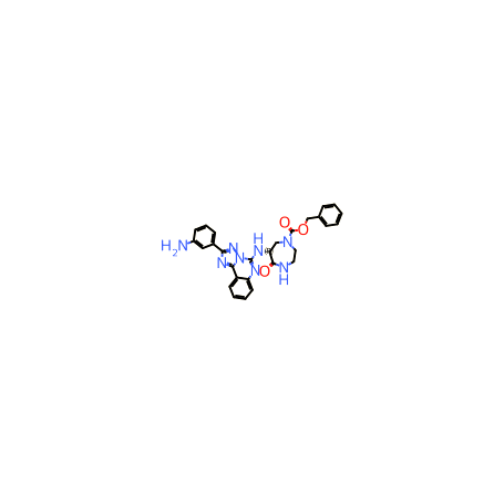 Nc1cccc(-c2nc3c4ccccc4nc(N[C@@H]4CN(C(=O)OCc5ccccc5)CCNC4=O)n3n2)c1